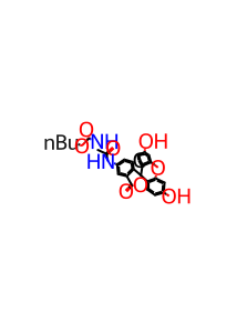 CCCCOC(=O)NCC(=O)Nc1ccc2c(c1)C(=O)OC21c2ccc(O)cc2Oc2cc(O)ccc21